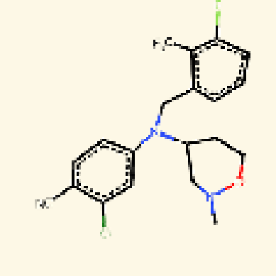 CN1C[C@@H](N(Cc2cccc(F)c2C(F)(F)F)c2ccc(C#N)c(Cl)c2)CCO1